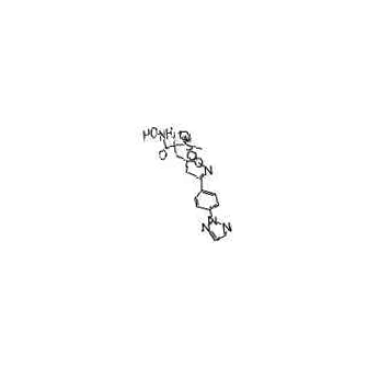 CC(CC1CC(c2ccc(-n3nccn3)cc2)=NO1)(C(=O)NO)S(C)(=O)=O